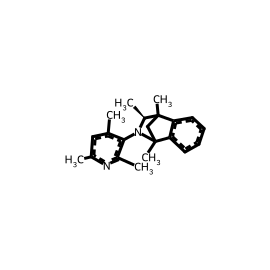 Cc1cc(C)c(N2[C@@H](C)C3(C)CC2(C)c2ccccc23)c(C)n1